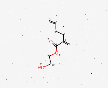 C=CCCC(=C)C(=O)OCCO